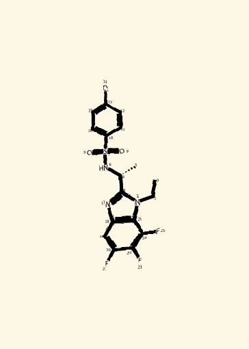 CCn1c([C@@H](C)NS(=O)(=O)c2ccc(Cl)cc2)nc2cc(F)c(F)c(F)c21